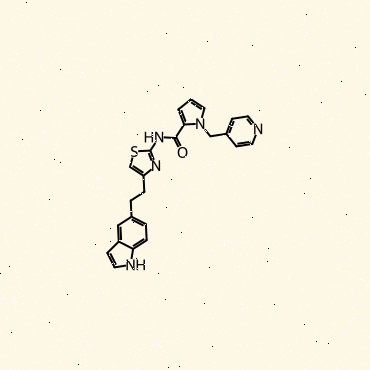 O=C(Nc1nc(CCc2ccc3[nH]ccc3c2)cs1)c1cccn1Cc1ccncc1